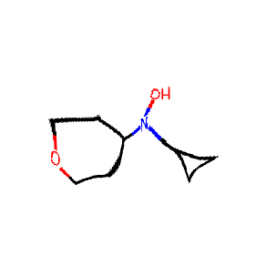 ON(C1CCOCC1)C1CC1